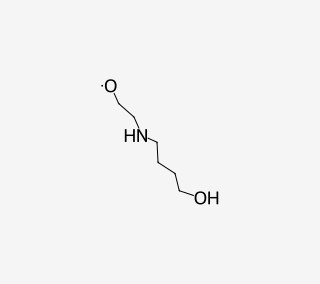 [O]CCNCCCCO